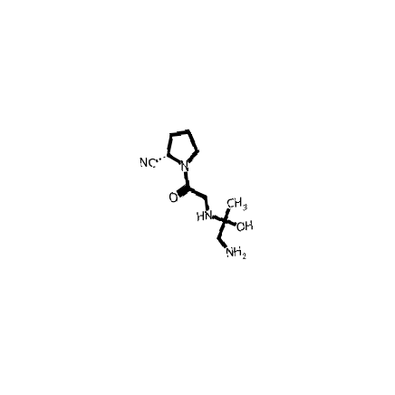 CC(O)(CN)NCC(=O)N1CCC[C@H]1C#N